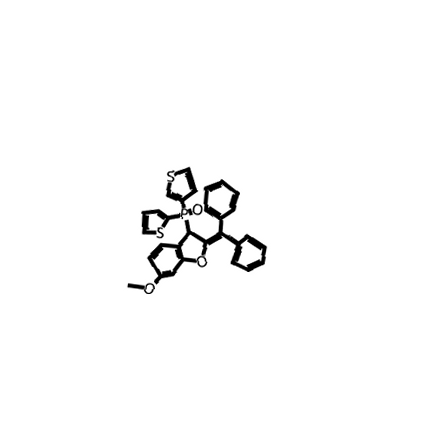 COc1ccc2c(c1)OC(=C(c1ccccc1)c1ccccc1)C2P(=O)(c1ccsc1)c1cccs1